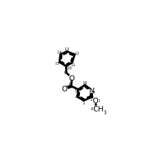 COc1ccc(C(=O)OCc2ccccc2)cn1